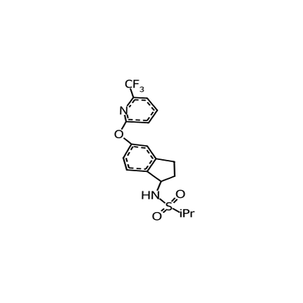 CC(C)S(=O)(=O)NC1CCc2cc(Oc3cccc(C(F)(F)F)n3)ccc21